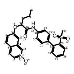 CCCC(Oc1ccc2cc[n+]([O-])cc2c1)C(=O)Nc1ccc(-c2ccccc2S(C)(=O)=O)cc1